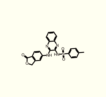 Cc1ccc(S(=O)(=O)Nc2nc3ccccc3nc2Nc2ccc3c(c2)COC3=O)cc1